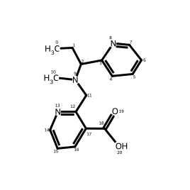 CCC(c1ccccn1)N(C)Cc1ncccc1C(=O)O